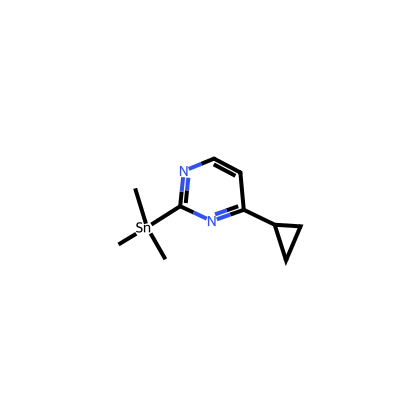 [CH3][Sn]([CH3])([CH3])[c]1nccc(C2CC2)n1